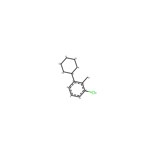 Cc1c(Cl)cccc1C1CCCCC1